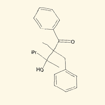 CC(C)C(C)(O)C(C)(Cc1ccccc1)C(=O)c1ccccc1